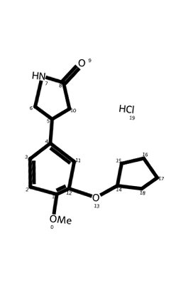 COc1ccc(C2CNC(=O)C2)cc1OC1CCCC1.Cl